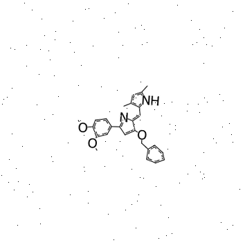 COc1ccc(C2=NC(=Cc3[nH]c(C)cc3C)C(OCc3ccccc3)=C2)cc1OC